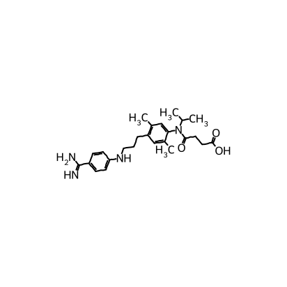 Cc1cc(N(C(=O)CCC(=O)O)C(C)C)c(C)cc1CCCNc1ccc(C(=N)N)cc1